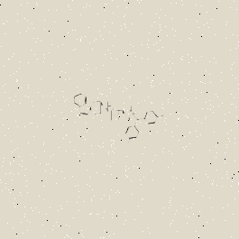 Cc1ccc(C(C(=O)NCCCN2CCC3(C=Cc4ccccc43)CC2)c2ccc(C)cc2)cc1